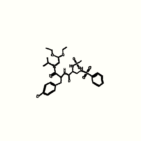 CCOC(CN(C(=O)C(Cc1ccc(Cl)cc1)NC(=O)C(CNS(=O)(=O)c1ccccc1)NS(C)(=O)=O)C(C)C)OCC